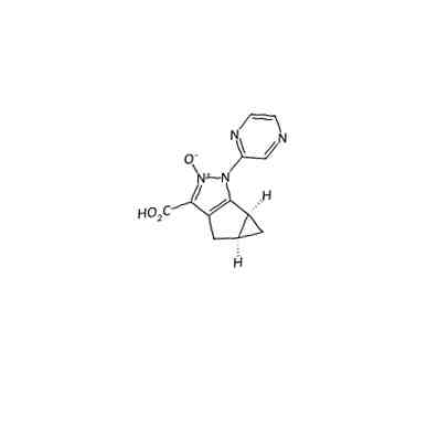 O=C(O)c1c2c(n(-c3cnccn3)[n+]1[O-])[C@H]1C[C@H]1C2